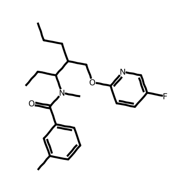 CCCC(COc1ccc(F)cn1)C(CC)N(C)C(=O)c1cccc(C)c1